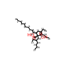 CCCCCCCCCCC(CC(CC)CCCC)C(CC(CC)CCCC)(C(=O)O)C(=O)O